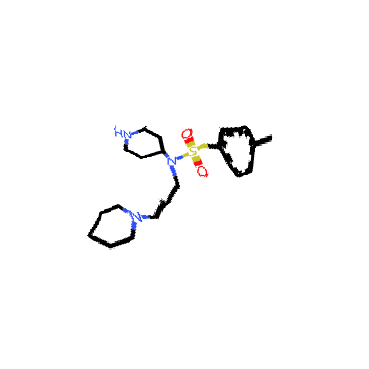 Cc1ccc(S(=O)(=O)N(CCCN2CCCCC2)C2CCNCC2)cc1